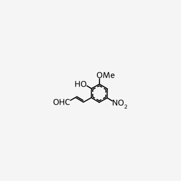 COc1cc([N+](=O)[O-])cc(C=CC=O)c1O